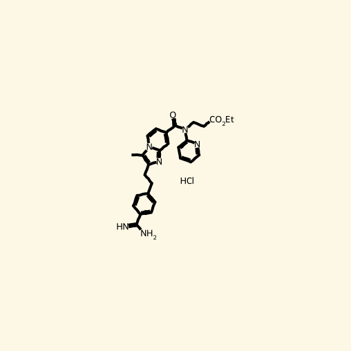 CCOC(=O)CCN(C(=O)c1ccn2c(C)c(CCc3ccc(C(=N)N)cc3)nc2c1)c1ccccn1.Cl